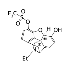 CCN1CC[C@@]23C4=CC=C(O)[C@@H]2Oc2c(OS(=O)(=O)C(F)(F)F)ccc(c23)CC41